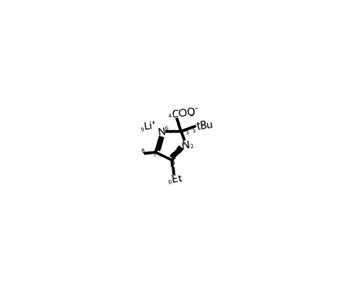 CCC1=NC(C(=O)[O-])(C(C)(C)C)N=C1C.[Li+]